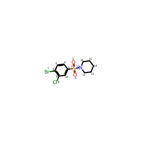 O=S(=O)(c1ccc(Br)c(Cl)c1)N1CCCCC1